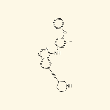 Cc1cc(Nc2ncnc3ccc(C#CC4CCCNC4)cc23)ccc1Oc1ccccc1